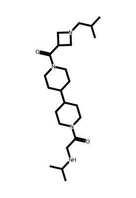 CC(C)CN1CC(C(=O)N2CCC(C3CCN(C(=O)CNC(C)C)CC3)CC2)C1